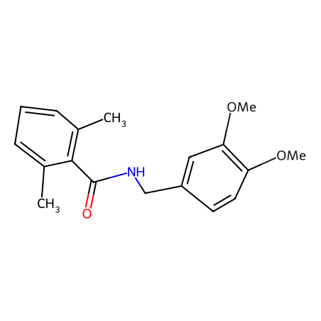 COc1ccc(CNC(=O)c2c(C)cccc2C)cc1OC